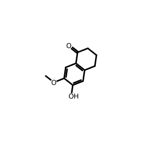 COc1cc2c(cc1O)CCCC2=O